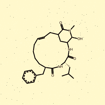 CC(C)C[C@@H]1NC(=O)C(Cc2ccccc2)CCCC/C=C/CC2CC(NC1=O)C(O)N(C)C2=O